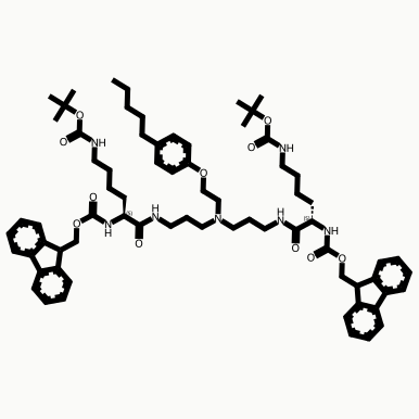 CCCCCc1ccc(OCCN(CCCNC(=O)[C@H](CCCCNC(=O)OC(C)(C)C)NC(=O)OCC2c3ccccc3-c3ccccc32)CCCNC(=O)[C@H](CCCCNC(=O)OC(C)(C)C)NC(=O)OCC2c3ccccc3-c3ccccc32)cc1